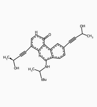 CC(O)C#Cc1ccc2c(NC(C)C(C)(C)C)nc3c(C#C[C@H](C)O)c[nH]c(=O)c3c2c1